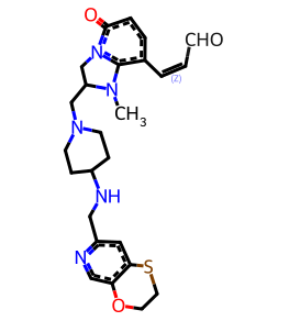 CN1c2c(/C=C\C=O)ccc(=O)n2CC1CN1CCC(NCc2cc3c(cn2)OCCS3)CC1